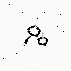 N#Cc1ccncc1.c1cc[nH]c1